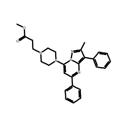 COC(=O)CCN1CCN(c2cc(-c3ccccc3)nc3c(-c4ccccc4)c(C)nn23)CC1